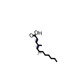 CCCCCC[C@H](C)/C=C(C)/C=C/C(=O)O